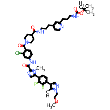 COCCn1ncc(-c2ccc(-c3cnc(C(=O)Nc4ccc(C(=O)N5CCC(C(=O)NCCCc6ccnc(CCCNC(=O)OC(C)(C)C)c6)CC5)c(Cl)c4)n3C)c(F)c2F)c1C